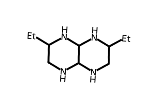 CCC1CNC2NCC(CC)NC2N1